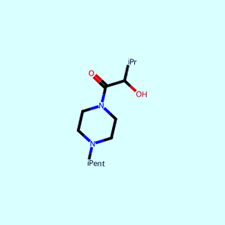 CCCC(C)N1CCN(C(=O)C(O)C(C)C)CC1